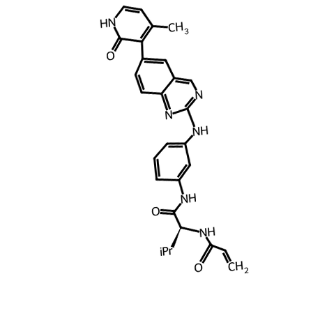 C=CC(=O)N[C@H](C(=O)Nc1cccc(Nc2ncc3cc(-c4c(C)cc[nH]c4=O)ccc3n2)c1)C(C)C